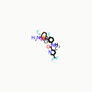 Cc1cc(C(F)F)cnc1C(=O)Nc1ccc(F)c([C@@]2(C)N=C(N)[C@@]3(CF)CC[C@@H]2S3(=O)=O)c1